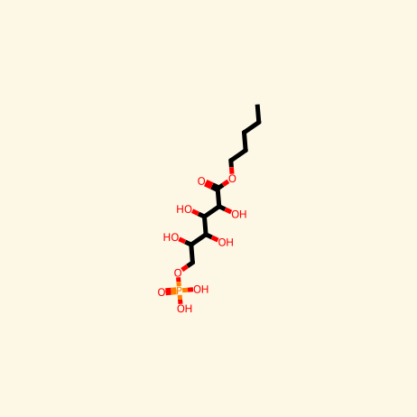 CCCCCOC(=O)C(O)C(O)C(O)C(O)COP(=O)(O)O